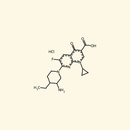 CCC1CCN(c2nc3c(cc2F)c(=O)c(C(=O)O)cn3C2CC2)CC1N.Cl